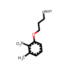 CCCCCCCCCCCCOc1cccc(C)c1[N+](=O)[O-]